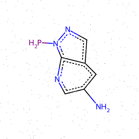 Nc1cnc2c(cnn2P)c1